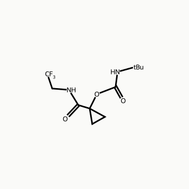 CC(C)(C)NC(=O)OC1(C(=O)NCC(F)(F)F)CC1